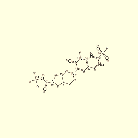 Cn1c(=O)c(N2CCC3CN(C(=O)OC(C)(C)C)CC3C2)cc2cnc(S(C)(=O)=O)nc21